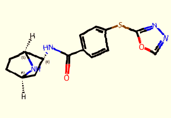 O=C(N[C@@H]1C[C@H]2CC[C@@H]1N2)c1ccc(Sc2nnco2)cc1